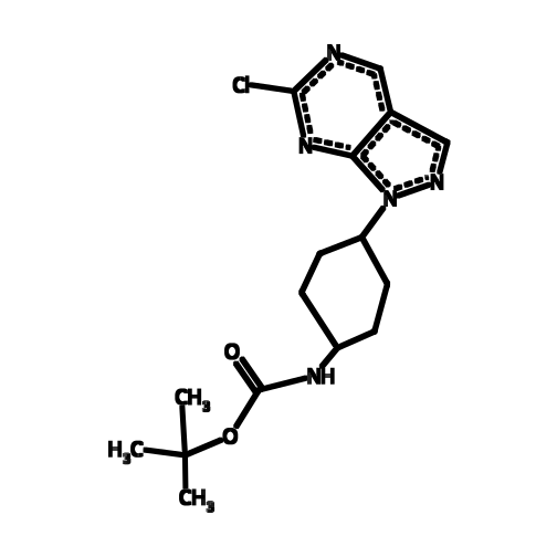 CC(C)(C)OC(=O)NC1CCC(n2ncc3cnc(Cl)nc32)CC1